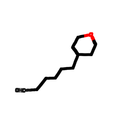 O=CCCCCCC1CCOCC1